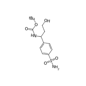 CC(C)(C)OC(=O)NC(CCO)c1ccc(S(N)(=O)=O)cc1